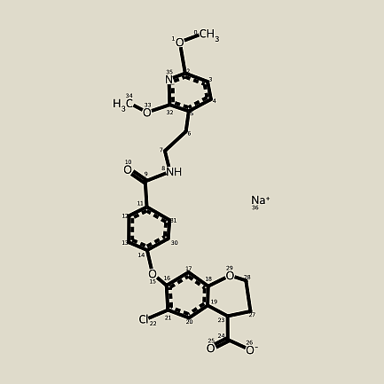 COc1ccc(CCNC(=O)c2ccc(Oc3cc4c(cc3Cl)C(C(=O)[O-])CCO4)cc2)c(OC)n1.[Na+]